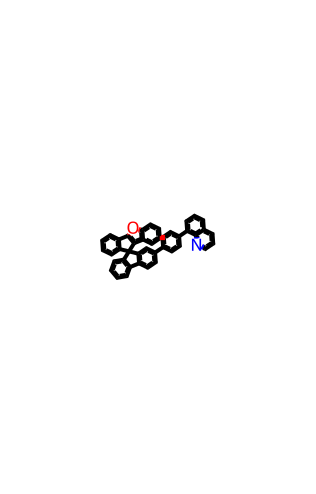 c1ccc2c(c1)-c1ccc(-c3ccc(-c4cccc5cccnc45)cc3)cc1C21c2ccccc2-c2oc3ccccc3c21